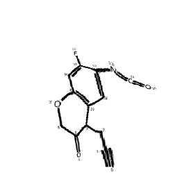 C#CCC1C(=O)COc2cc(F)c(N=C=O)cc21